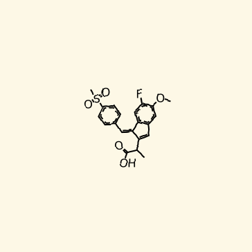 COc1cc2c(cc1F)/C(=C\c1ccc(S(C)(=O)=O)cc1)C(C(C)C(=O)O)=C2